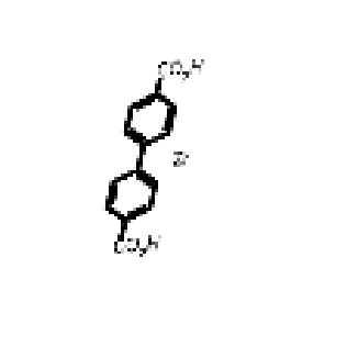 O=C(O)c1ccc(-c2ccc(C(=O)O)cc2)cc1.[Zr]